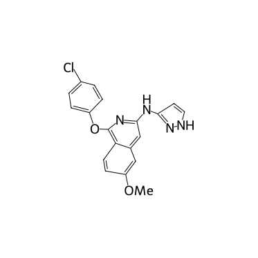 COc1ccc2c(Oc3ccc(Cl)cc3)nc(Nc3cc[nH]n3)cc2c1